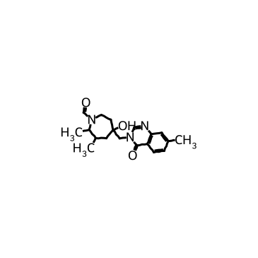 Cc1ccc2c(=O)n(CC3(O)CCN(C=O)C(C)C(C)C3)cnc2c1